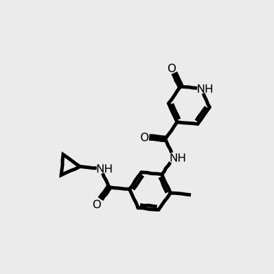 Cc1ccc(C(=O)NC2CC2)cc1NC(=O)c1cc[nH]c(=O)c1